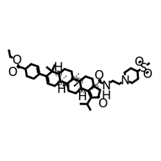 CCOC(=O)C1CC=C(C2=CC[C@]3(C)[C@H]4CC[C@@H]5C6=C(C(C)C)C(=O)C[C@]6(C(=O)NCCN6CCC(S(C)(=O)=O)CC6)CC[C@@]5(C)[C@]4(C)CC[C@H]3C2(C)C)CC1